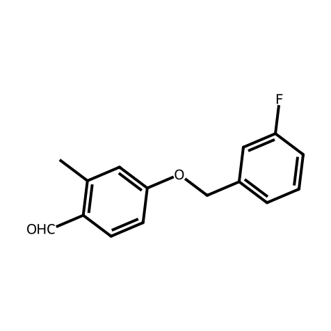 Cc1cc(OCc2cccc(F)c2)ccc1C=O